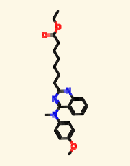 CCOC(=O)CCCCCCc1nc(N(C)c2ccc(OC)cc2)c2ccccc2n1